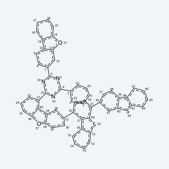 c1ccc(-c2nc(-c3ccc4c(c3)oc3ccccc34)nc(-c3cccc4oc5ccc(-c6ccc(-c7ccc8c(c7)sc7ccccc78)c7sc8ccccc8c67)cc5c34)n2)cc1